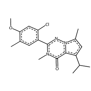 COc1cc(Cl)c(-c2nn3c(C)cc(C(C)C)c3c(=O)n2C)cc1C